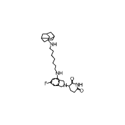 O=C1CCC(N2Cc3cc(F)cc(NCCCCCCCNC45CC6CC(CC(C6)C4)C5)c3C2)C(=O)N1